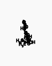 CCCCC(C)Cc1cc(C(=O)NS(=O)(=O)c2ccc(CCNC(=O)COc3ccccc3)cc2)cnc1C(=O)O